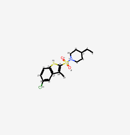 CCC1CCN(S(=O)(=O)c2sc3ccc(Cl)cc3c2C)CC1